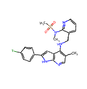 Cc1cnc2[nH]c(-c3ccc(F)cc3)cc2c1NCc1cccnc1N(C)S(C)(=O)=O